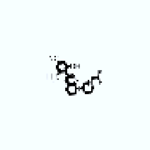 Cc1cc(C#N)cc(O)c1-c1cc2c(nn1)N(C1CCCN(CC(F)F)C1)CCC2